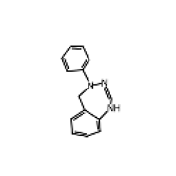 C1=NN(c2ccccc2)Cc2ccccc2N1